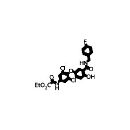 CCOC(=O)C(=O)Nc1cc(Cl)c(Oc2ccc(O)c(C(=O)NCc3ccc(F)cc3)c2)c(Cl)c1